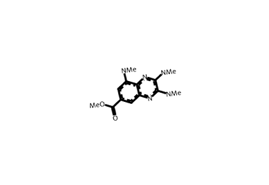 CNc1nc2cc(C(=O)OC)cc(NC)c2nc1NC